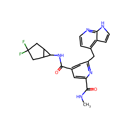 CNC(=O)c1cc(C(=O)NC2C3CC(F)(F)CC32)cc(Cc2ccnc3[nH]ccc23)n1